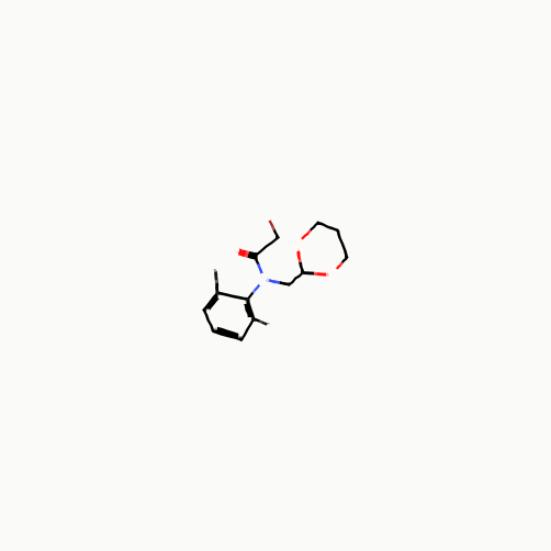 CCc1cccc(CC)c1N(CC1OCCCO1)C(=O)CBr